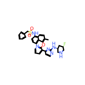 Cc1ccc2c(NS(=O)(=O)Cc3ccccc3)cccc2c1Oc1ncccc1-c1ccnc(N[C@@H]2CNC[C@H](F)C2)n1